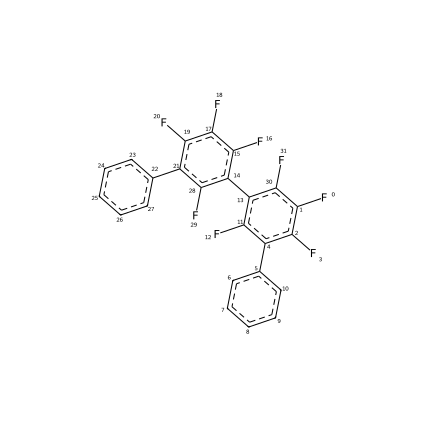 Fc1c(F)c(-c2ccccc2)c(F)c(-c2c(F)c(F)c(F)c(-c3ccccc3)c2F)c1F